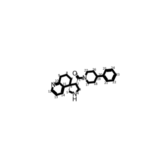 O=C([C@@H]1CNC[C@]12CCCc1ncccc12)N1CCC(c2ccccc2)CC1